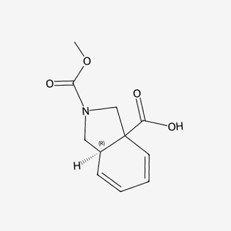 COC(=O)N1C[C@@H]2C=CC=CC2(C(=O)O)C1